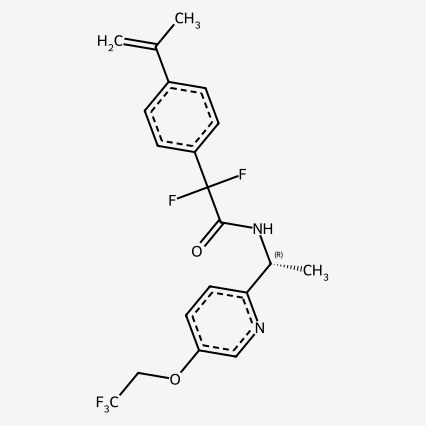 C=C(C)c1ccc(C(F)(F)C(=O)N[C@H](C)c2ccc(OCC(F)(F)F)cn2)cc1